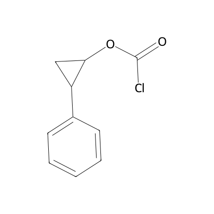 O=C(Cl)OC1CC1c1ccccc1